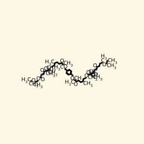 CCC(C)OC(C)CCC(=O)/C=C/C(=O)C(C)(CC)C(C)(C)OCCC(C)CCC(=O)C(C)(C)OCc1ccc(COC(C)(C)C(=O)CCC(C)CCOC(C)(C)C(C)(C)C(=O)/C=C/C(=O)OCC(C)OC(C)C)cc1